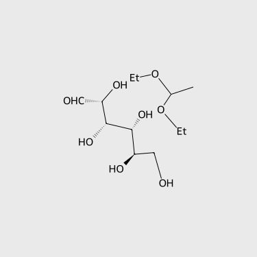 CCOC(C)OCC.O=C[C@H](O)[C@@H](O)[C@H](O)[C@H](O)CO